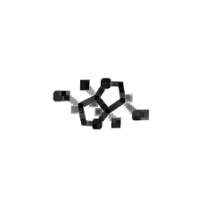 O=N[C@H]1CO[C@H]2[C@@H]1OC[C@@H]2O